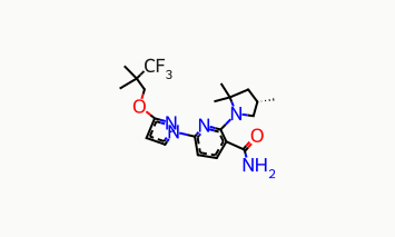 C[C@@H]1CN(c2nc(-n3ccc(OCC(C)(C)C(F)(F)F)n3)ccc2C(N)=O)C(C)(C)C1